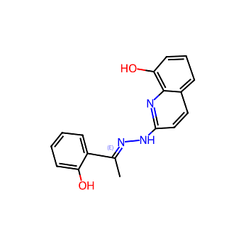 C/C(=N\Nc1ccc2cccc(O)c2n1)c1ccccc1O